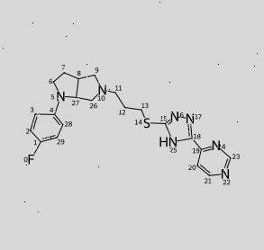 Fc1ccc(N2CCC3CN(CCCSc4nnc(-c5ccncn5)[nH]4)CC32)cc1